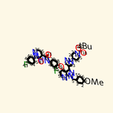 COc1ccc(Cn2nc(-c3cnn(C4CCN(C(=O)OC(C)(C)C)CC4)c3)c3c(Oc4ccc(NC(=O)c5ccnn(-c6ccc(F)cc6)c5=O)cc4F)ccnc32)cc1